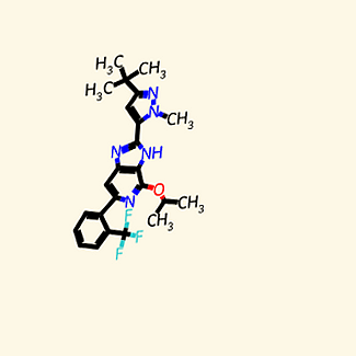 CC(C)Oc1nc(-c2ccccc2C(F)(F)F)cc2nc(-c3cc(C(C)(C)C)nn3C)[nH]c12